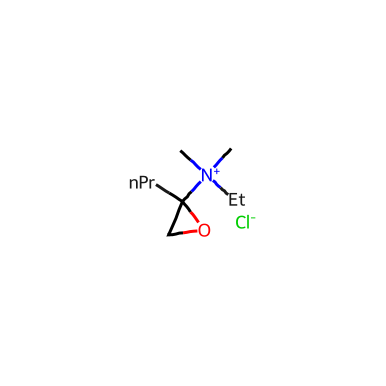 CCCC1([N+](C)(C)CC)CO1.[Cl-]